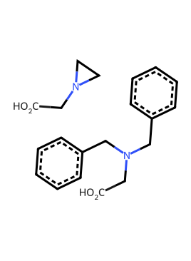 O=C(O)CN(Cc1ccccc1)Cc1ccccc1.O=C(O)CN1CC1